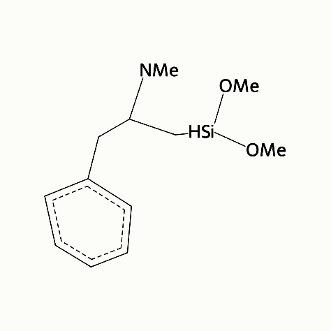 CNC(Cc1ccccc1)C[SiH](OC)OC